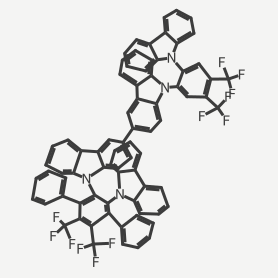 FC(F)(F)c1cc(-n2c3ccccc3c3ccccc32)c(-n2c3ccccc3c3cc(-c4ccc5c(c4)c4ccccc4n5-c4c(-c5ccccc5)c(C(F)(F)F)c(C(F)(F)F)c(-c5ccccc5)c4-n4c5ccccc5c5ccccc54)ccc32)cc1C(F)(F)F